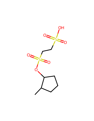 CC1CCCC1OS(=O)(=O)CCS(=O)(=O)O